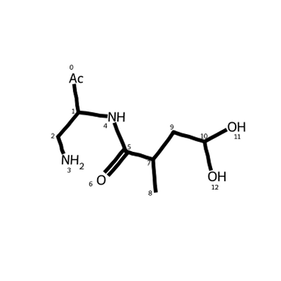 CC(=O)C(CN)NC(=O)C(C)CC(O)O